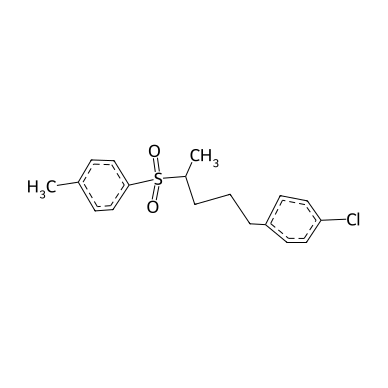 Cc1ccc(S(=O)(=O)C(C)CCCc2ccc(Cl)cc2)cc1